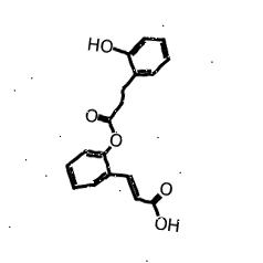 O=C(O)/C=C/c1ccccc1OC(=O)CCc1ccccc1O